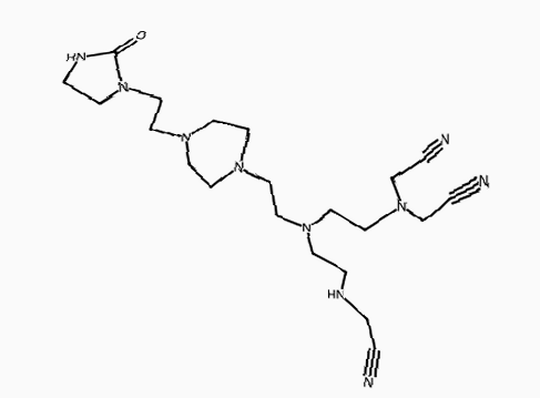 N#CCNCCN(CCN(CC#N)CC#N)CCN1CCN(CCN2CCNC2=O)CC1